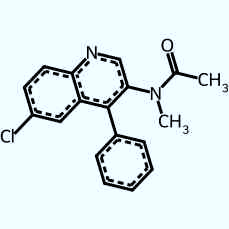 CC(=O)N(C)c1cnc2ccc(Cl)cc2c1-c1ccccc1